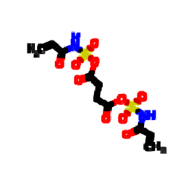 C=CC(=O)NS(=O)(=O)OC(=O)CCC(=O)OS(=O)(=O)NC(=O)C=C